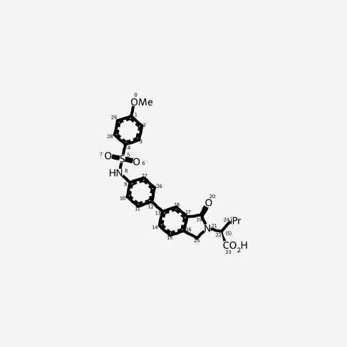 COc1ccc(S(=O)(=O)Nc2ccc(-c3ccc4c(c3)C(=O)N([C@H](C(=O)O)C(C)C)C4)cc2)cc1